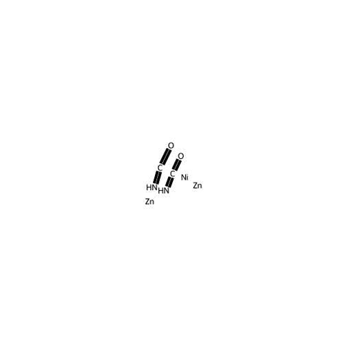 N=C=O.N=C=O.[Ni].[Zn].[Zn]